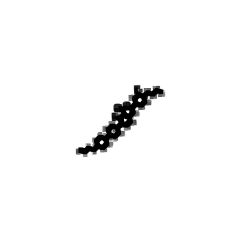 C=CCCC1CCC(C2CCC(c3ccc4cc(C5CCC(CCCC)C(F)C5)oc(=O)c4c3F)CC2)CC1